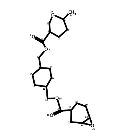 CC1CCC(C(=O)OCC2CCC(COC(=O)C3CCC4OC4C3)CC2)CO1